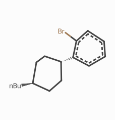 CCCC[C@H]1CC[C@H](c2ccccc2Br)CC1